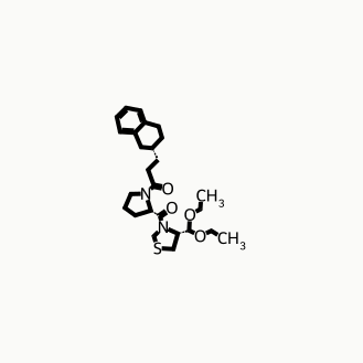 CCOC(OCC)[C@@H]1CSCN1C(=O)[C@@H]1CCCN1C(=O)CC[C@H]1CCc2ccccc2C1